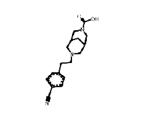 N#Cc1ccc(CCN2CC3CC(C2)CN(C(=O)O)C3)cc1